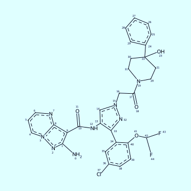 Nc1nn2cccnc2c1C(=O)Nc1cn(CC(=O)N2CCC(O)(c3ccccc3)CC2)nc1-c1cc(Cl)ccc1OC(F)F